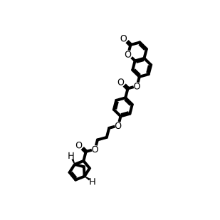 O=C(Oc1ccc2ccc(=O)oc2c1)c1ccc(OCCCOC(=O)C2C[C@@H]3C=C[C@H]2C3)cc1